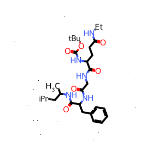 CCNC(=O)CCC(NC(=O)OC(C)(C)C)C(=O)NCC(=O)NC(Cc1ccccc1)C(=O)NC(C)CC(C)C